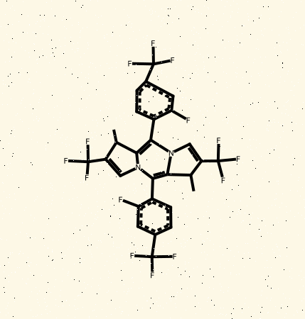 CC1C(C(F)(F)F)=CN2C(c3ccc(C(F)(F)F)cc3F)=C3C(C)C(C(F)(F)F)=CN3C(c3ccc(C(F)(F)F)cc3F)=C12